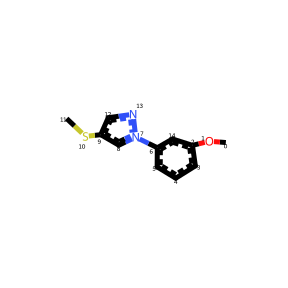 COc1cccc(-n2cc(SC)cn2)c1